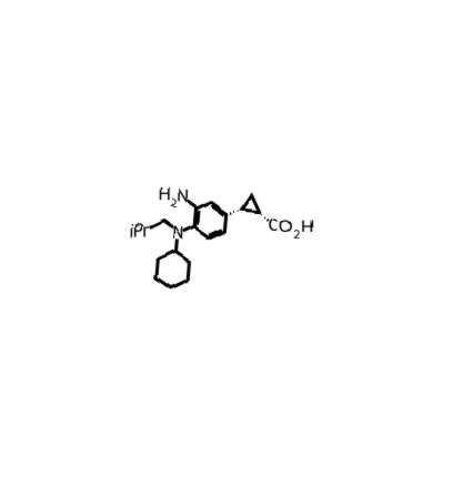 CC(C)CN(c1ccc([C@@H]2C[C@@H]2C(=O)O)cc1N)C1CCCCC1